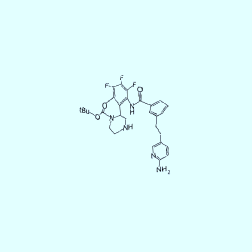 Cc1c(F)c(F)c(F)c(NC(=O)c2cccc(CCc3ccc(N)nc3)c2)c1C1CNCCN1C(=O)OC(C)(C)C